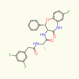 C[C@H](NC(=O)Cc1cc(F)cc(F)c1)C(=O)N[C@@H]1C(=O)Nc2cc(F)ccc2O[C@@H]1c1ccccc1